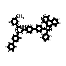 CC1C=C(C2N=C(c3ccc(-c4ccccc4)cc3)C=C(c3ccc(-c4ccc(-n5c(-c6ccccc6)nc6c7ccccc7c7ccncc7c65)cc4)cc3)N2)C=CC1